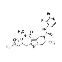 C[C@@H]1Cc2nn3c(c2CN1C(=O)Nc1ccnc(Br)c1F)C(=O)N(C)OC(CN(C)C)C3